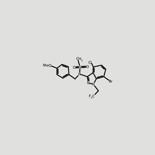 COc1ccc(CN(c2nn(CC(F)(F)F)c3c(Br)ccc(Cl)c23)S(C)(=O)=O)cc1